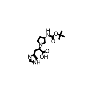 CC(C)(C)OC(=O)N[C@H]1CCN(C(Cc2c[nH]cn2)C(=O)O)C1